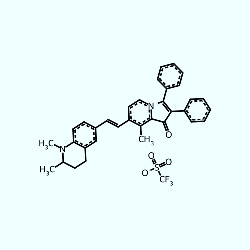 Cc1c(C=Cc2ccc3c(c2)CCC(C)N3C)cc[n+]2c1C(=O)C(c1ccccc1)=C2c1ccccc1.O=S(=O)([O-])C(F)(F)F